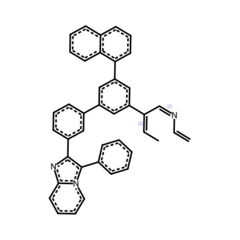 C=C/N=C\C(=C/C)c1cc(-c2cccc(-c3nc4ccccn4c3-c3ccccc3)c2)cc(-c2cccc3ccccc23)c1